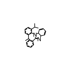 CC(C)c1cccc(C(C)C)c1N1C(c2ccccc2)=NC2C=CC=CC21